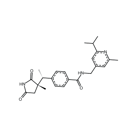 Cc1cc(CNC(=O)c2ccc([C@@H](C)[C@]3(C)CC(=O)NC3=O)cc2)cc(C(C)C)n1